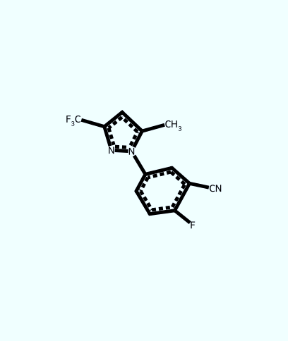 Cc1cc(C(F)(F)F)nn1-c1ccc(F)c(C#N)c1